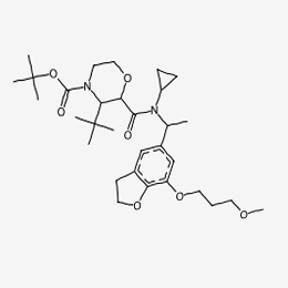 COCCCOc1cc(C(C)N(C(=O)C2OCCN(C(=O)OC(C)(C)C)C2C(C)(C)C)C2CC2)cc2c1OCC2